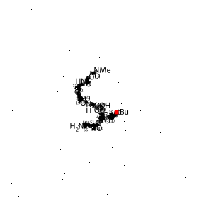 CNC(=O)COCC(=O)NCCC(C)(C)OCCC(C)(C)OC(=O)NCCOP(=O)(O)OCC(OC(=O)C(C)(C)CCC(C)(C)C)C(C)(C)COC(=O)C(C)(C)CCC(C)(C)N